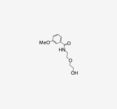 COc1cccc(C(=O)NCCOCCO)c1